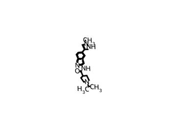 CC(C)N1CCC(C(=O)Nc2cc3cc(C4=CN(C)NC4)ccc3cn2)CC1